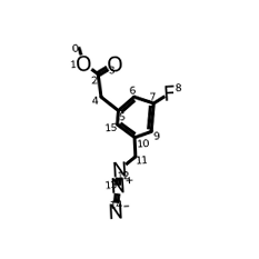 COC(=O)Cc1cc(F)cc(CN=[N+]=[N-])c1